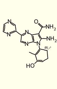 CC1=C(n2c(N)c(C(N)=O)c3nc(-c4cnccn4)cnc32)[C@H](C)CC=C1O